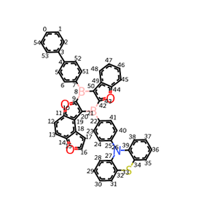 c1ccc(-c2ccc(B3c4oc5ccc6occc6c5c4B(c4ccc(N5c6ccccc6Sc6ccccc65)cc4)c4oc5ccccc5c43)cc2)cc1